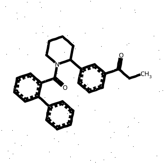 CCC(=O)c1cccc(C2CCCCN2C(=O)c2ccccc2-c2ccccc2)c1